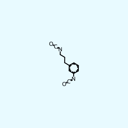 O=C=NCCCc1cccc(N=C=O)c1